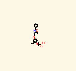 CCc1cc(OCCc2nc(-c3ccccc3)oc2C)ccc1OC(C)(C)C(=O)O